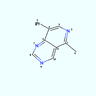 Cc1ncc(C(C)C)c2ncncc12